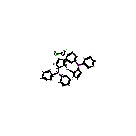 C1=CC(P(c2ccccc2)c2ccccc2)[C]([Fe][C]2=CC=CC2P(c2ccccc2)c2ccccc2)=C1.[Cl][Pd][Cl]